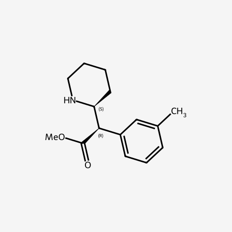 COC(=O)[C@H](c1cccc(C)c1)[C@@H]1CCCCN1